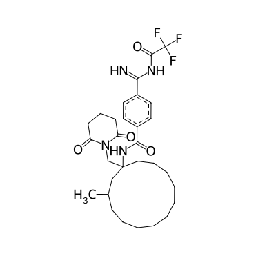 CC1CCCCCCCCCCC(CN2C(=O)CCCC2=O)(NC(=O)c2ccc(C(=N)NC(=O)C(F)(F)F)cc2)C1